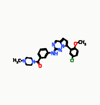 COc1ccc(Cl)cc1-c1ccc2cnc(Nc3cccc(C(=O)N4CCN(C)CC4)c3)nn12